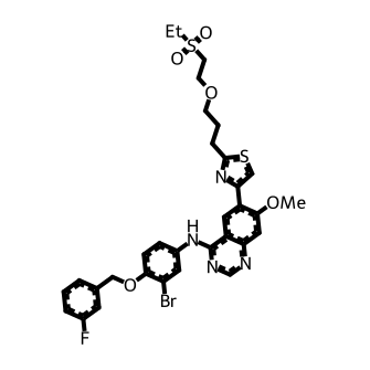 CCS(=O)(=O)CCOCCCc1nc(-c2cc3c(Nc4ccc(OCc5cccc(F)c5)c(Br)c4)ncnc3cc2OC)cs1